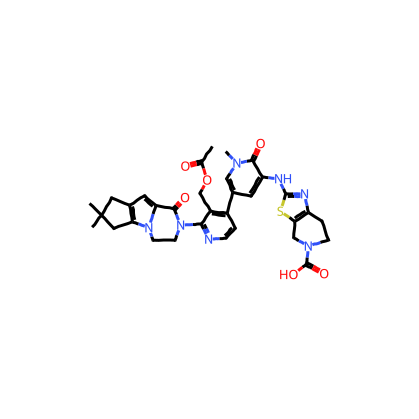 CC(=O)OCc1c(-c2cc(Nc3nc4c(s3)CN(C(=O)O)CC4)c(=O)n(C)c2)ccnc1N1CCn2c(cc3c2CC(C)(C)C3)C1=O